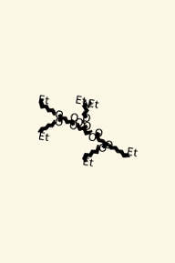 CC/C=C\CCCCOC(CCC(=O)OCCC(CCOC(=O)CCC(OCCCC/C=C\CC)OCCCC/C=C\CC)OC(=O)OCCCN(CC)CC)OCCCC/C=C\CC